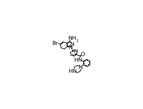 Nc1nn(-c2nc(C(=O)Nc3ccccc3N3CCNCC3)cs2)c2c1C=C(Br)CC2